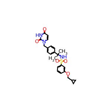 CC(C)(NS(=O)(=O)c1cccc(OCC2CC2)c1)c1ccc(Cn2ccc(=O)[nH]c2=O)cc1